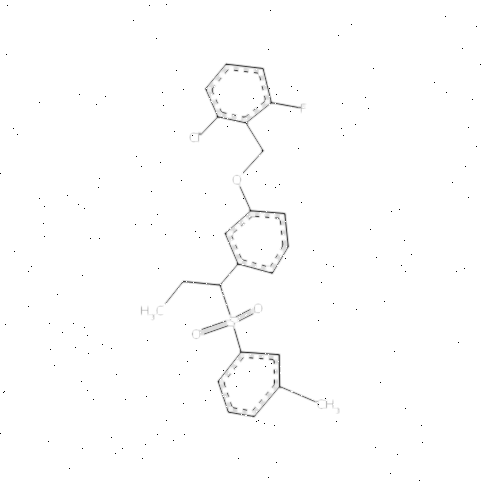 CCC(c1cccc(OCc2c(F)cccc2Cl)c1)S(=O)(=O)c1cccc(C)c1